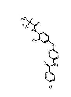 CC(O)(C(=O)Nc1ccc(Sc2ccc(NC(=O)c3ccc(Cl)cc3)cc2)cc1Cl)C(F)(F)F